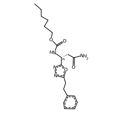 CCCCCCOC(=O)N[C@H](CC(N)=O)c1nnc(CCc2ccccc2)o1